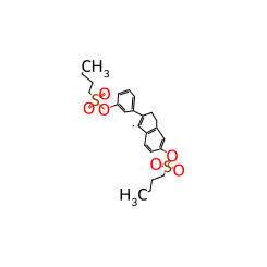 CCCCS(=O)(=O)Oc1cccc(C2=[C]c3ccc(OS(=O)(=O)CCCC)cc3CC2)c1